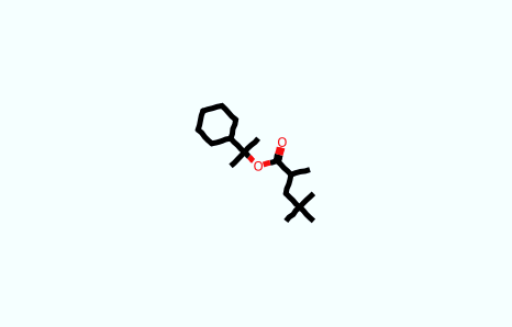 CC(CC(C)(C)C)C(=O)OC(C)(C)C1CCCCC1